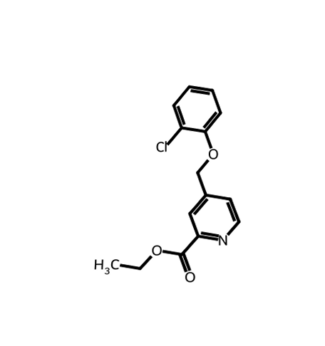 CCOC(=O)c1cc(COc2ccccc2Cl)ccn1